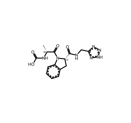 C[C@@H](NC(=O)O)C(=O)N1c2ccccc2C[C@H]1C(=O)NCc1nn[nH]n1